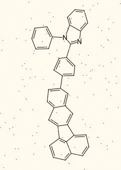 c1ccc(-n2c(-c3ccc(-c4ccc5cc6c(cc5c4)-c4cccc5cccc-6c45)cc3)nc3ccccc32)cc1